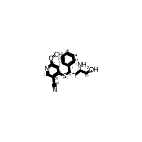 COc1cc(S[C@@H](C[C@H](N)CO)c2ccccc2)c(C#N)cn1